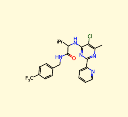 Cc1nc(-c2ccccn2)nc(NC(C(=O)NCc2ccc(C(F)(F)F)cc2)C(C)C)c1Cl